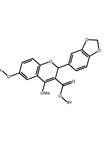 COC1=C(C(=O)OC(C)C)C(c2ccc3c(c2)OCO3)Oc2ccc(OC(C)C)cc21